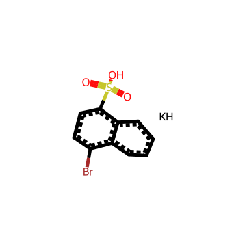 O=S(=O)(O)c1ccc(Br)c2ccccc12.[KH]